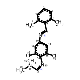 Cc1cccc(C)c1/C=N/c1cc(Cl)c(/N=C\N(C)C)c(Cl)c1